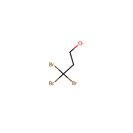 [O]CCC(Br)(Br)Br